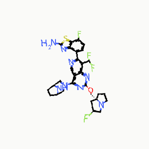 Nc1nc2c(-c3ncc4c(N5CC6CCC(C5)N6)nc(OC[C@]56CCCN5C[C@@H](F)C6)nc4c3C(F)F)ccc(F)c2s1